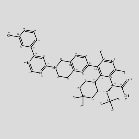 Cc1nc(C)c([C@H](OC(C)(C)C)C(=O)O)c(N2CCC(C)(C)CC2)c1-c1ccc2c(c1)CCN(c1cc(-c3cccc(Cl)c3)ncn1)C2